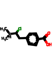 C[SiH](C)C(Cl)Cc1ccc(C(=O)O)cc1